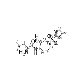 CC(C)C[C@H](N)C(=O)NC1CCCN(S(=O)(=O)c2nccs2)CC1O